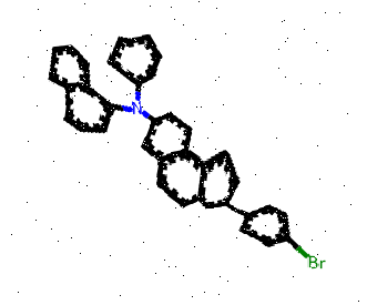 Brc1ccc(-c2ccc3c(ccc4cc(N(c5ccccc5)c5cccc6ccccc56)ccc43)c2)cc1